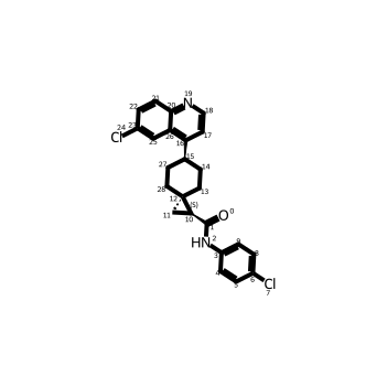 O=C(Nc1ccc(Cl)cc1)[C@H]1C[C@]12CC[C@H](c1ccnc3ccc(Cl)cc31)CC2